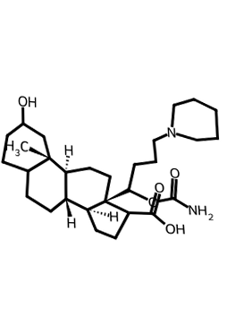 C[C@]12CC(O)CCC1CC[C@H]1[C@@H]3CCC(C(=O)O)[C@@]3(C(CCCN3CCCCC3)OC(N)=O)CC[C@@H]12